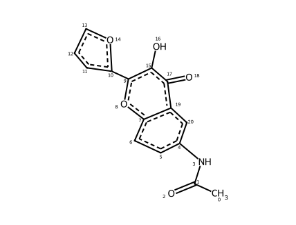 CC(=O)Nc1ccc2oc(-c3ccco3)c(O)c(=O)c2c1